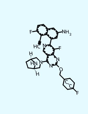 C#Cc1c(F)ccc2cc(N)cc(-c3ncc4c(N5C[C@H]6CC[C@@H](C5)N6)nc(OCC56CCC(F)(CC5)CC6)nc4c3F)c12